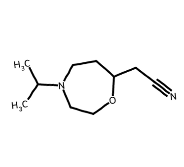 CC(C)N1CCOC(CC#N)CC1